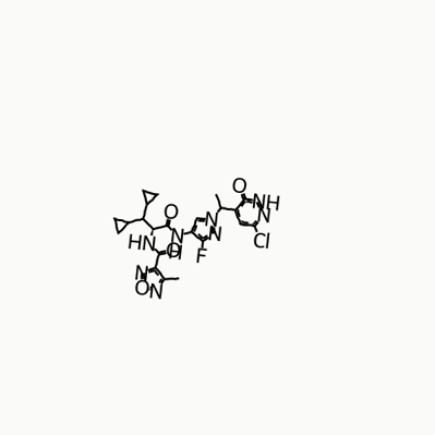 Cc1nonc1C(=O)N[C@H](C(=O)Nc1cn(C(C)c2cc(Cl)n[nH]c2=O)nc1F)C(C1CC1)C1CC1